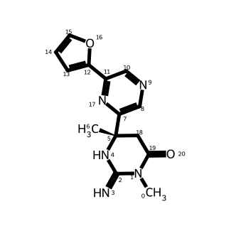 CN1C(=N)N[C@](C)(c2cncc(-c3ccco3)n2)CC1=O